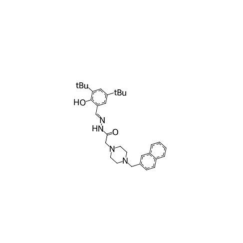 CC(C)(C)c1cc(C=NNC(=O)CN2CCN(Cc3ccc4ccccc4c3)CC2)c(O)c(C(C)(C)C)c1